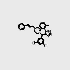 Cc1cccc(C)c1-n1nnnc1[C@@H](c1cc(Cl)cc(Cl)c1)N1CCN(C/C=C/c2ccccc2)CC1